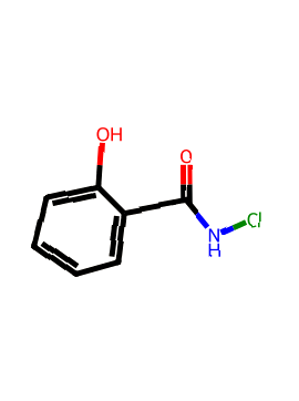 O=C(NCl)c1ccccc1O